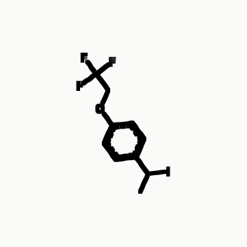 CC(I)c1ccc(OCC(F)(F)F)cc1